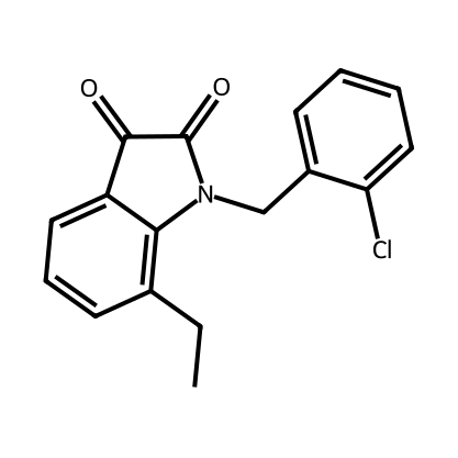 CCc1cccc2c1N(Cc1ccccc1Cl)C(=O)C2=O